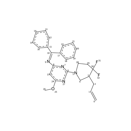 C=CCC1CN(c2nc(N=C(c3ccccc3)c3ccccc3)cc(OC)n2)CCC1(F)F